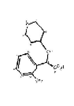 O=C(O)[C@H](OC1CCOCC1)c1ccccc1O